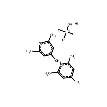 Cc1cc(C)nc(C)c1.Cc1cc(C)nc(C)c1.I.[O-][Cl+3]([O-])([O-])O